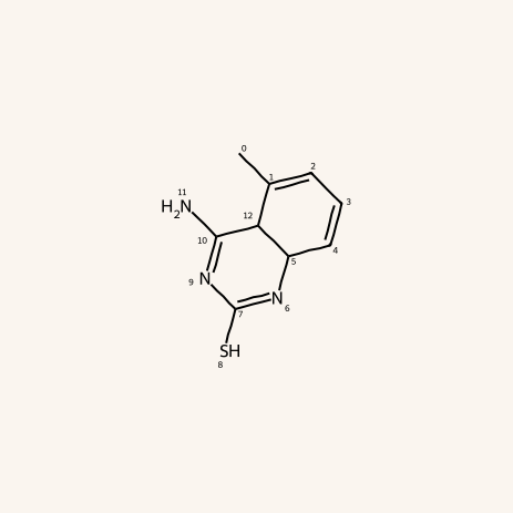 CC1=CC=CC2N=C(S)N=C(N)C12